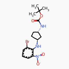 CC(C)(C)OC(=O)N[C@H]1CC[C@H](Nc2c(Br)cccc2[N+](=O)[O-])C1